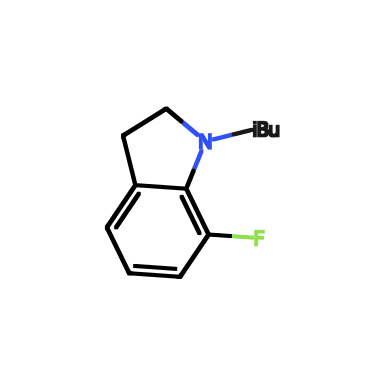 CCC(C)N1CCc2cccc(F)c21